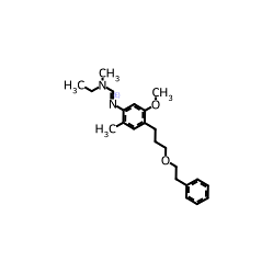 CCN(C)/C=N/c1cc(OC)c(CCCOCCc2ccccc2)cc1C